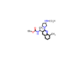 Cc1cccc2cc([C@H](C)NC(=O)OC(C)(C)C)c(N3CC[C@H](NC(=O)O)C3)nc12